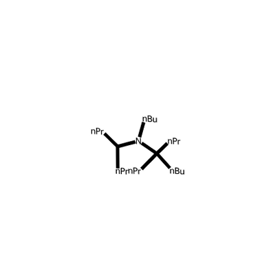 CCCCN(C(CCC)CCC)C(CCC)(CCC)CCCC